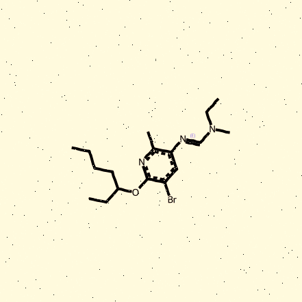 CCCCC(CC)Oc1nc(C)c(/N=C/N(C)CC)cc1Br